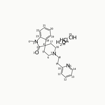 CN1C(=O)C2(CCN(CCc3ccccn3)CC2)c2ccccc21.Cl.Cl.O